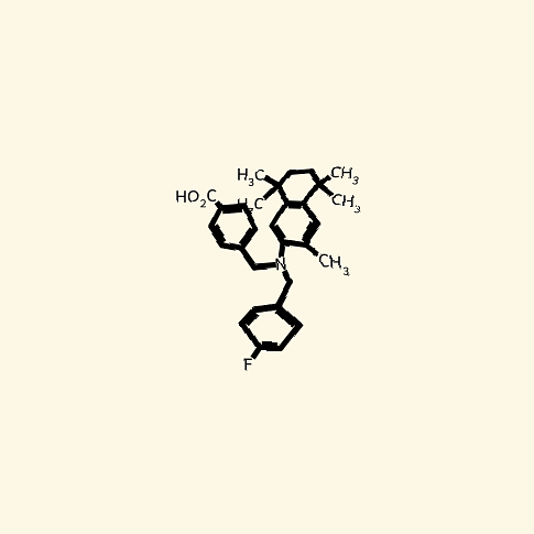 Cc1cc2c(cc1N(Cc1ccc(F)cc1)Cc1ccc(C(=O)O)cc1)C(C)(C)CCC2(C)C